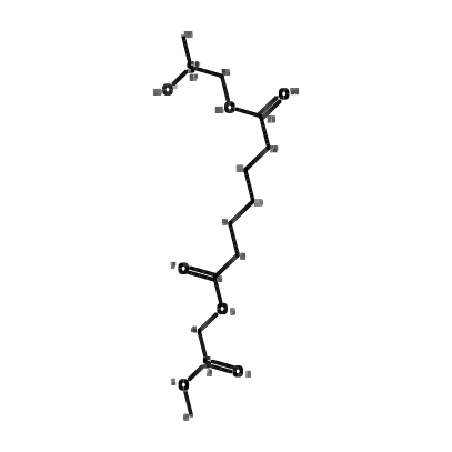 COS(=O)COC(=O)CCCCCC(=O)OC[S+](C)[O-]